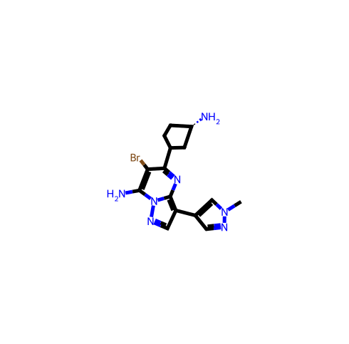 Cn1cc(-c2cnn3c(N)c(Br)c(C4CC[C@H](N)C4)nc23)cn1